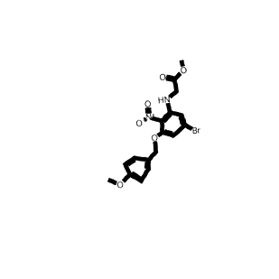 COC(=O)CNc1cc(Br)cc(OCc2ccc(OC)cc2)c1[N+](=O)[O-]